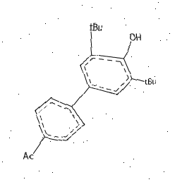 CC(=O)c1ccc(-c2cc(C(C)(C)C)c(O)c(C(C)(C)C)c2)cc1